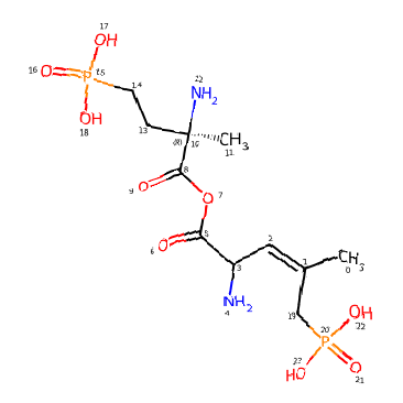 CC(=CC(N)C(=O)OC(=O)[C@](C)(N)CCP(=O)(O)O)CP(=O)(O)O